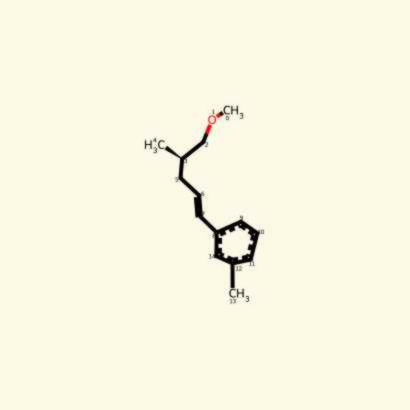 COC[C@H](C)C/C=C/c1cccc(C)c1